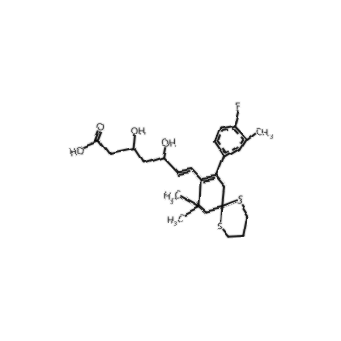 Cc1cc(C2=C(C=CC(O)CC(O)CC(=O)O)C(C)(C)CC3(C2)SCCCS3)ccc1F